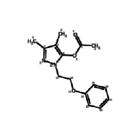 CC(=O)Oc1c(C)c(C)nn1CCOc1ccccc1